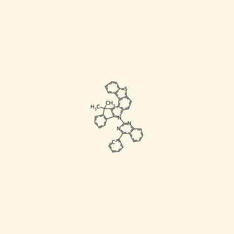 CC1(C)c2ccccc2-c2c1c1c3c(ccc1n2-c1nc(-c2ccccc2)c2ccccc2n1)sc1ccccc13